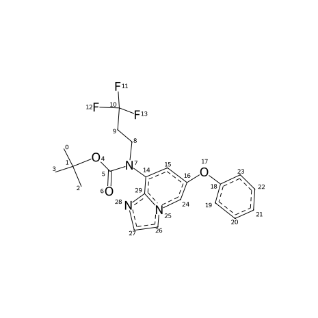 CC(C)(C)OC(=O)N(CCC(F)(F)F)c1cc(Oc2ccccc2)cn2ccnc12